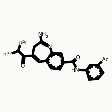 CCCC(CCC)C(=O)C1=Cc2ccc(C(=O)Nc3cccc(C(C)=O)c3)cc2N=C(N)C1